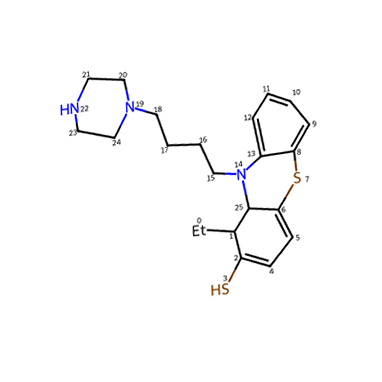 CCC1C(S)=CC=C2Sc3ccccc3N(CCCCN3CCNCC3)C21